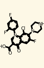 O=C(O)c1cn(-c2ccc(F)cc2F)c2c(Cl)c(N3CCNCC3)c(F)cc2c1=O